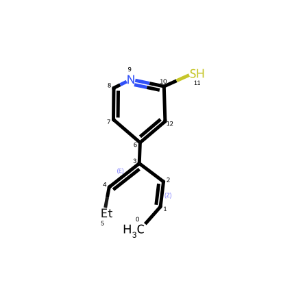 C/C=C\C(=C/CC)c1ccnc(S)c1